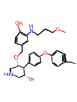 COCCCNc1cc(CO[C@H]2CNC[C@@H](O)C2c2ccc(Oc3ccc(C)cc3)cc2)ccc1O